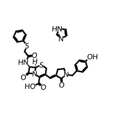 O=C(CSc1ccccc1)N[C@@H]1C(=O)N2C(C(=O)O)=C(C=C3CCN(Cc4ccc(O)cc4)C3=O)CS[C@H]12.c1c[nH]cn1